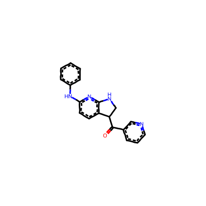 O=C(c1cccnc1)C1CNc2nc(Nc3ccccc3)ccc21